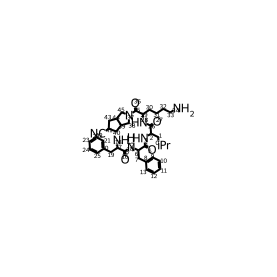 CC(C)CC(NC(=O)C(Cc1ccccc1)NC(=O)C(N)Cc1ccccc1)C(=O)NC(CCCCN)C(=O)N1CC2CC(C#N)CC2C1